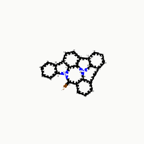 S=c1c2cccc3c4cccc5c6ccc7c8ccccc8n1c7c6n(c23)c45